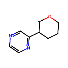 [CH]1OCCCC1c1cnccn1